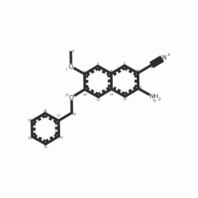 COc1cc2cc(C#N)c(N)cc2cc1OCc1ccccc1